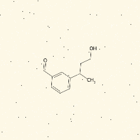 CC(CCO)c1cccc(C=O)c1